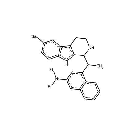 CCN(CC)c1cc(C(C)C2NCCc3c2[nH]c2ccc(C(C)(C)C)cc32)c2ccccc2c1